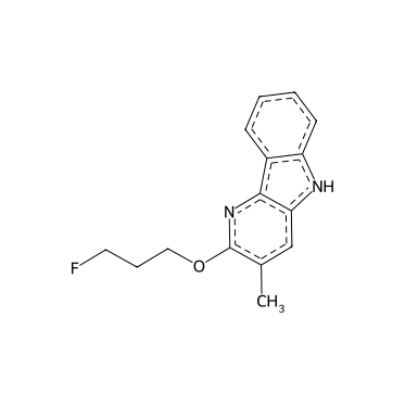 Cc1cc2[nH]c3ccccc3c2nc1OCCCF